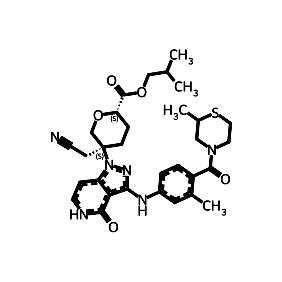 Cc1cc(Nc2nn([C@]3(CC#N)CC[C@@H](C(=O)OCC(C)C)OC3)c3cc[nH]c(=O)c23)ccc1C(=O)N1CCSC(C)C1